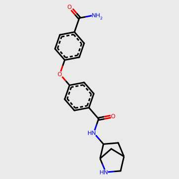 NC(=O)c1ccc(Oc2ccc(C(=O)NC3CC4CNC3C4)cc2)cc1